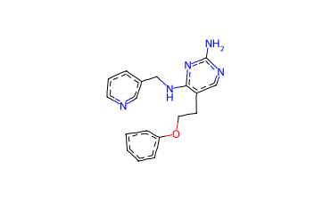 Nc1ncc(CCOc2ccccc2)c(NCc2cccnc2)n1